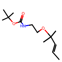 C/C=C/C(C)(C)OCCNC(=O)OC(C)(C)C